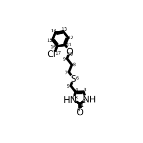 O=c1[nH]cc(CSCCCOc2ccccc2Cl)[nH]1